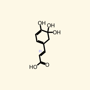 O=C(O)/C=C/C1=CC=C(O)C(O)(O)C1